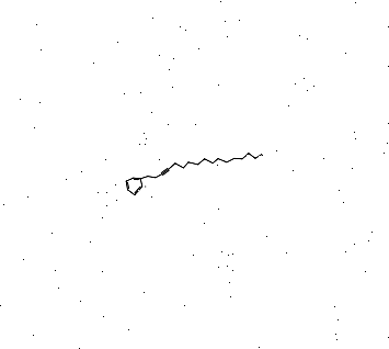 CCCCCCCCCCCCCC#CCCc1[c]cccc1